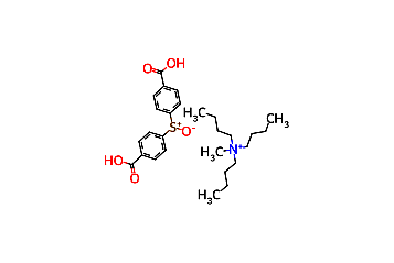 CCCC[N+](C)(CCCC)CCCC.O=C(O)c1ccc([S+]([O-])c2ccc(C(=O)O)cc2)cc1